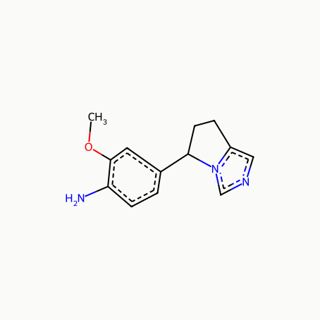 COc1cc(C2CCc3cncn32)ccc1N